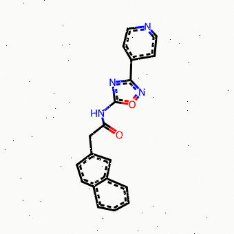 O=C(Cc1ccc2ccccc2c1)Nc1nc(-c2ccncc2)no1